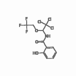 O=C(NC(OCC(F)(F)F)C(Cl)(Cl)Cl)c1ccccc1O